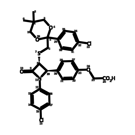 CC1(C)COC(CS[C@H]2C(=O)N(c3ccc(Cl)cc3)[C@@H]2c2ccc(OCC(=O)O)cc2)(c2ccc(Cl)cc2)OC1